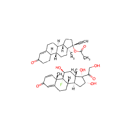 C#C[C@]1(OC(C)=O)CC[C@H]2[C@@H]3CCC4=CC(=O)CC[C@@H]4[C@H]3CC[C@@]21C.C[C@]12C=CC(=O)C=C1CC[C@H]1[C@@H]3C[C@@H](O)[C@](O)(C(=O)CO)[C@@]3(C)C[C@H](O)[C@@]12F